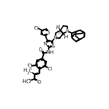 C/C(=C\c1c(Cl)cc(C(=O)Nc2nc(-c3cc(Cl)cs3)c(N3C[C@@H]4CCN(C5C6CC7CC(C6)CC5C7)[C@@H]4C3)s2)cc1Cl)C(=O)O